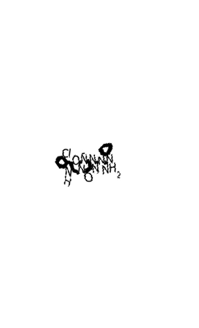 Cn1c(-n2c(N)nc3ccccc32)nc2c1c(=O)n(Cc1cc3c(Cl)cccc3[nH]1)c(=O)n2C